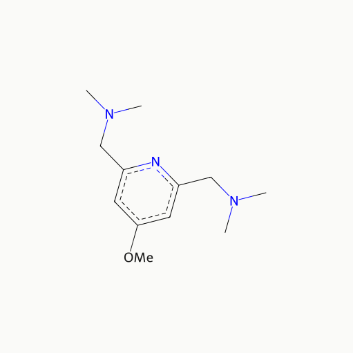 COc1cc(CN(C)C)nc(CN(C)C)c1